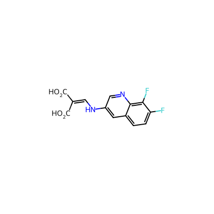 O=C(O)C(=CNc1cnc2c(F)c(F)ccc2c1)C(=O)O